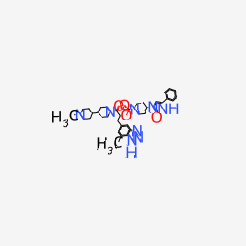 Cc1cc(CC(OC(=O)N2CCC(n3cc(-c4ccccc4)[nH]c3=O)CC2)C(=O)N2CCC(C3CCN(C)CC3)CC2)cc2nn[nH]c12